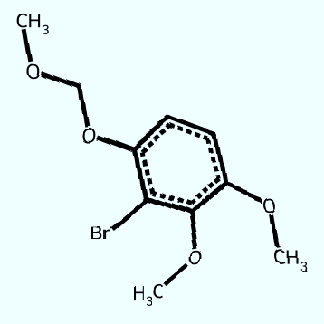 COCOc1ccc(OC)c(OC)c1Br